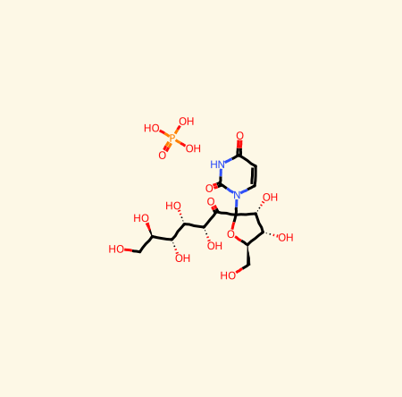 O=C([C@H](O)[C@@H](O)[C@H](O)[C@H](O)CO)C1(n2ccc(=O)[nH]c2=O)O[C@H](CO)[C@@H](O)[C@H]1O.O=P(O)(O)O